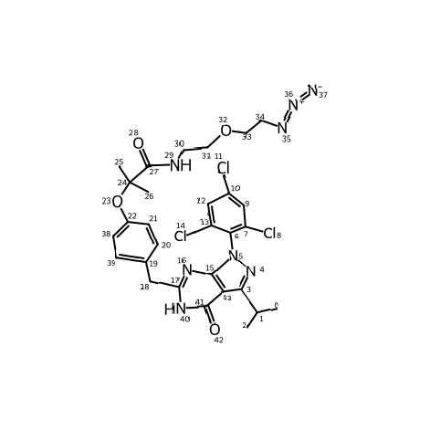 CC(C)c1nn(-c2c(Cl)cc(Cl)cc2Cl)c2nc(Cc3ccc(OC(C)(C)C(=O)NCCOCCN=[N+]=[N-])cc3)[nH]c(=O)c12